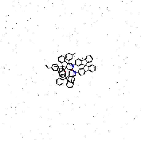 C=Cc1ccc(C2(c3ccccc3)c3ccccc3-c3ccc(N(CC4=CC(C)CC=C4)c4ccc5c(c4)C4(c6ccccc6-5)c5ccccc5-c5ccc(N(C6=CC7(C)C(C=C6)c6ccccc6C7(c6ccccc6)c6ccc(C=C)cc6)c6ccccc6)cc54)cc32)cc1